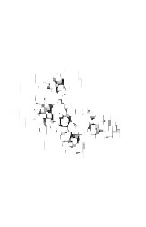 CC(C)(C)OOC12C(=O)c3c4c5c6c(c3C(=O)C3(OOC(C)(C)C)C(C(=O)c7c(ccc(c7C(=O)C7C(C)(C)C7(OOC(C)(C)C)C5=O)C6=O)C(=O)C1C2(C)C)C3(C)C)C(=O)C1(OOC(C)(C)C)C(C4=O)C1(C)C